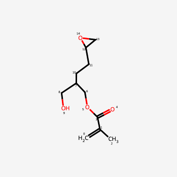 C=C(C)C(=O)OCC(CO)CCC1CO1